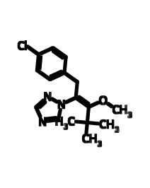 CO/C(=C(\Cc1ccc(Cl)cc1)n1cncn1)C(C)(C)C